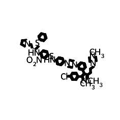 Cc1c(CCCN2CCN(C)CC2)c(-c2cccc(N3CCN(c4ccc(NSc5ccc(N[C@H](CCN6CCCC6)CSc6ccccc6)c([N+](=O)[O-])c5)cc4)CC3)c2)c(-c2ccc(Cl)cc2)n1C